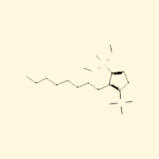 CCCCCCCCC1=[C]([Pt]([CH3])([CH3])[CH3])CC=C1[Si](C)(OC)OC